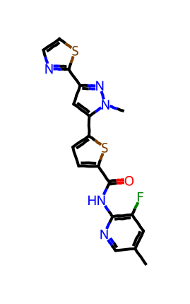 Cc1cnc(NC(=O)c2ccc(-c3cc(-c4nccs4)nn3C)s2)c(F)c1